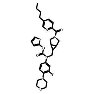 CCCCc1ccc(C(=O)N2CC3C(C2)C3CN(C(=O)Oc2cccs2)c2ccc(N3CCOCC3)c(F)c2)nc1